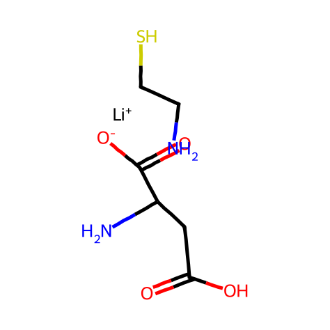 NC(CC(=O)O)C(=O)[O-].NCCS.[Li+]